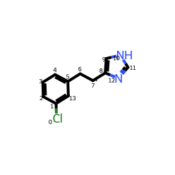 Clc1cccc(C[CH]c2c[nH]cn2)c1